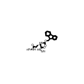 CCCNC(=O)CC[C@H](NC(=O)OCC1c2ccccc2-c2ccccc21)C(=O)NCCC